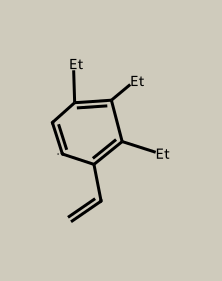 C=Cc1[c]cc(CC)c(CC)c1CC